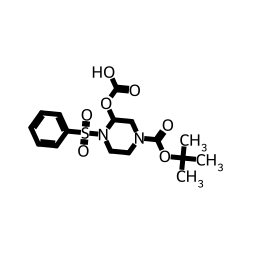 CC(C)(C)OC(=O)N1CCN(S(=O)(=O)c2ccccc2)C(OC(=O)O)C1